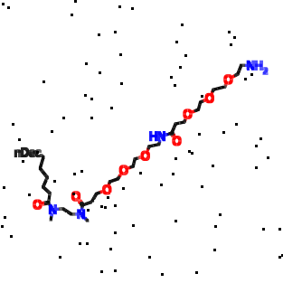 CCCCCCCCCCCCCCCC(=O)N(C)CCN(C)C(=O)CCOCCOCCOCCNC(=O)CCOCCOCCOCCN